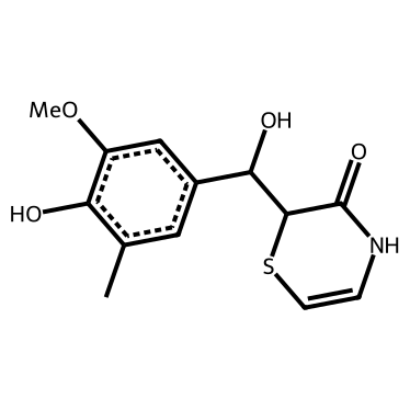 COc1cc(C(O)C2SC=CNC2=O)cc(C)c1O